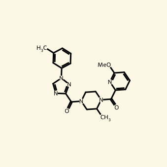 COc1cccc(C(=O)N2CCN(C(=O)c3ncn(-c4cccc(C)c4)n3)CC2C)n1